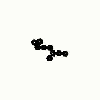 c1ccc(-c2ccc(-c3cc(-c4cccc(-c5ccc(-c6cccc7c6-c6ccccc6C76CCCCC6)cc5)c4)nc(-c4ccccc4)n3)cc2)cc1